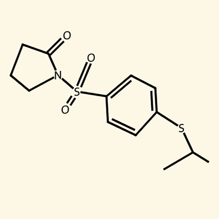 CC(C)Sc1ccc(S(=O)(=O)N2CCCC2=O)cc1